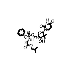 CC(C)COC(=O)[C@H](C)NP(=O)(OC[C@H]1O[C@@H](n2ccc(=O)[nH]c2=O)C(C)(C)[C@@H]1O)Oc1ccccc1